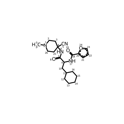 CN1CCC(C#N)(NC(=O)C(CC2CCCCC2)NC(=O)c2ccco2)CC1